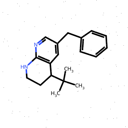 CC(C)(C)C1CCNc2ncc(Cc3ccccc3)cc21